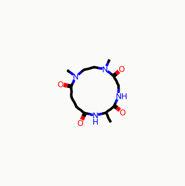 CC1NC(=O)CCC(=O)N(C)CCN(C)C(=O)CNC1=O